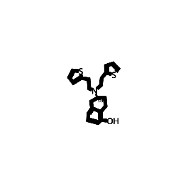 Oc1cccc2c1CC[C@H](N(CCc1cccs1)CCc1cccs1)C2